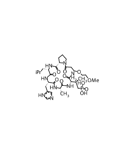 COCCOCCC(=O)N1CCC[C@H]1C(=O)N[C@@H](CC(C)C)C(=O)N[C@@H](Cc1cnc[nH]1)C(=O)N[C@@H](C)C(=O)N[C@H](C(N)=O)[C@@H](C)CP(=O)(O)O